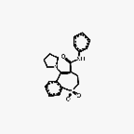 O=C(Nc1ccccc1)C1=C(N2CCCC2)c2ccccc2S(=O)(=O)CC1